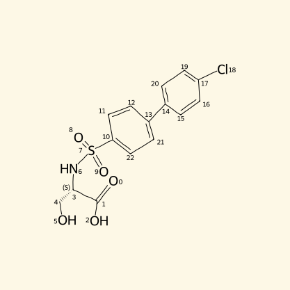 O=C(O)[C@H](CO)NS(=O)(=O)c1ccc(-c2ccc(Cl)cc2)cc1